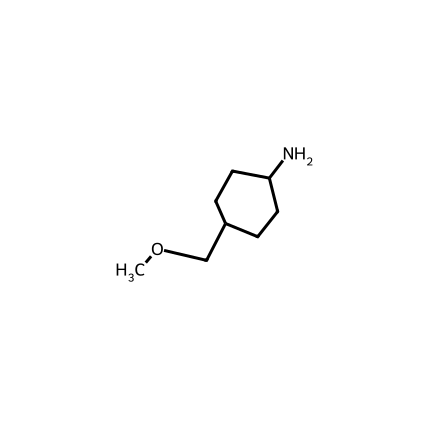 COCC1CCC(N)CC1